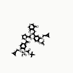 CC(C)(C)OC(=O)N(c1cc(C(=O)N2CCCC2C(=O)OC(Cc2c(Cl)cncc2Cl)c2ccc(OC(F)F)c(OCC3CC3)c2)ccc1OCC1CC1)S(C)(=O)=O